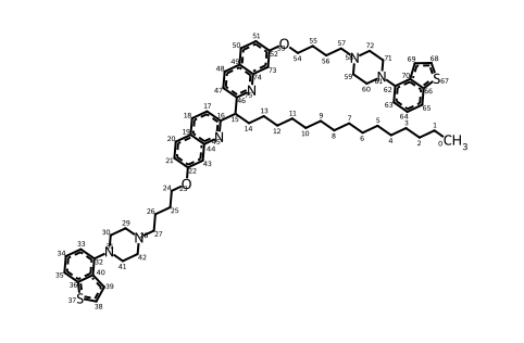 CCCCCCCCCCCCCCCC(c1ccc2ccc(OCCCCN3CCN(c4cccc5sccc45)CC3)cc2n1)c1ccc2ccc(OCCCCN3CCN(c4cccc5sccc45)CC3)cc2n1